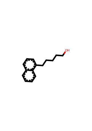 OCCCCCc1cccc2ccccc12